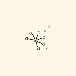 [Cl][Ir]([Cl])([Cl])([Cl])([Cl])[Cl].[K].[K].[K]